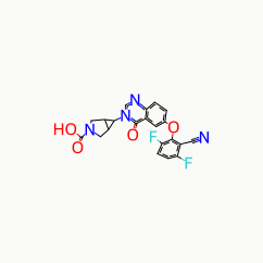 N#Cc1c(F)ccc(F)c1Oc1ccc2ncn(C3C4CN(C(=O)O)CC43)c(=O)c2c1